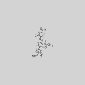 CCN(CC(C=O)OCC#N)c1ccc(N=Nc2ccc([N+](=O)[O-])cc2Cl)c(NC(C)=O)c1